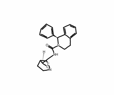 O=C(N[C@H]1CN2CCC1CC2)N1CCc2ccccc2[C@@H]1c1ccccc1